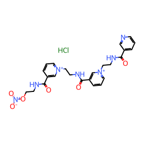 Cl.O=C(NCCO[N+](=O)[O-])c1ccc[n+](CCNC(=O)c2ccc[n+](CCNC(=O)c3cccnc3)c2)c1